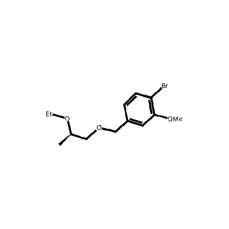 CCO[C@H](C)COCc1ccc(Br)c(OC)c1